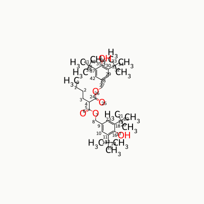 CCCCC(C(=O)OCc1cc(C(C)(C)C)c(O)c(C(C)(C)C)c1)C(=O)OCc1cc(C(C)(C)C)c(O)c(C(C)(C)C)c1